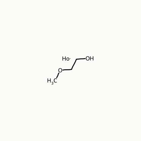 COCCO.[Ho]